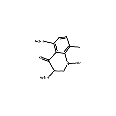 CC(=O)Nc1ccc(C)c2c1C(=O)C(NC(C)=O)CN2C(C)=O